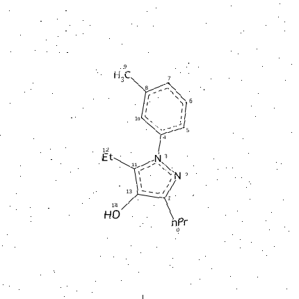 CCCc1nn(-c2cccc(C)c2)c(CC)c1O